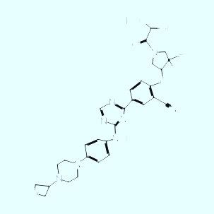 CC(O)C(=O)N1CC(Oc2ccc(-c3ncnc(Nc4ccc(N5CCN(C6COC6)CC5)cc4)n3)cc2C#N)C(F)(F)C1